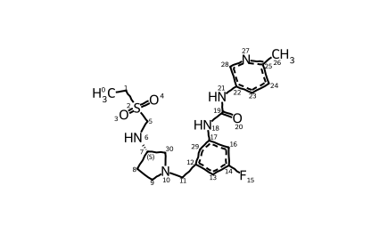 CCS(=O)(=O)CN[C@H]1CCN(Cc2cc(F)cc(NC(=O)Nc3ccc(C)nc3)c2)C1